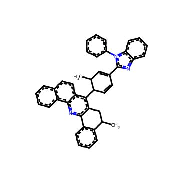 CC1Cc2c(nc3c(ccc4ccccc43)c2C2C=CC(c3nc4ccccc4n3-c3ccccc3)=CC2C)-c2ccccc21